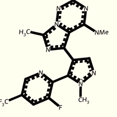 CNc1ncnn2c(C)nc(-c3cnn(C)c3-c3ncc(C(F)(F)F)cc3F)c12